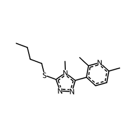 CCCCSc1nnc(-c2ccc(C)nc2C)n1C